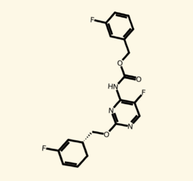 O=C(Nc1nc(OC[C@H]2C=C(F)C=CC2)ncc1F)OCc1cccc(F)c1